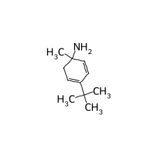 CC1(N)C=CC(C(C)(C)C)=CC1